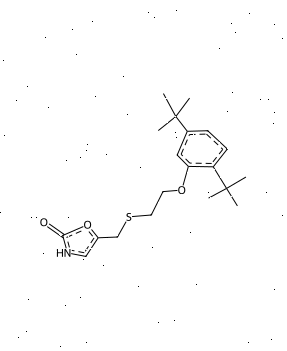 CC(C)(C)c1ccc(C(C)(C)C)c(OCCSCc2c[nH]c(=O)o2)c1